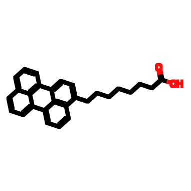 O=C(O)CCCCCCCc1ccc2c3cccc4cccc(c5cccc1c52)c43